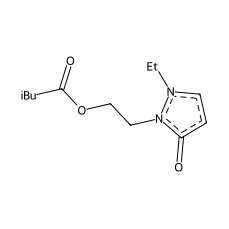 CCC(C)C(=O)OCCn1c(=O)ccn1CC